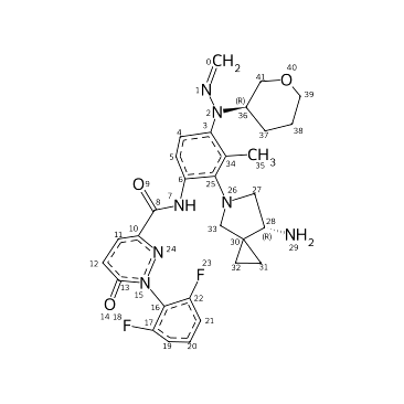 C=NN(c1ccc(NC(=O)c2ccc(=O)n(-c3c(F)cccc3F)n2)c(N2C[C@H](N)C3(CC3)C2)c1C)[C@@H]1CCCOC1